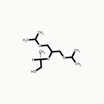 CC(C)OCC(COC(C)C)O[C@](C)(F)CO